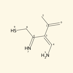 C=C(C)/C(=C/N)C(=N)CS